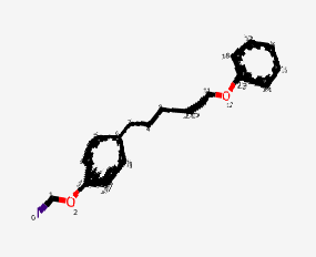 ICOc1ccc(CCCCCOc2ccccc2)cc1